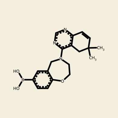 CC1(C)C=Cc2ncnc(N3CCOc4ccc(B(O)O)cc4C3)c2C1